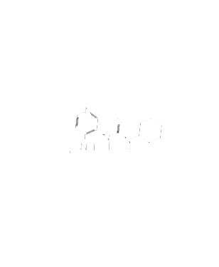 CNc1ccncc1NC(=S)NC1CCCCC1